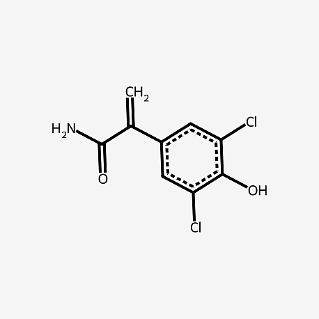 C=C(C(N)=O)c1cc(Cl)c(O)c(Cl)c1